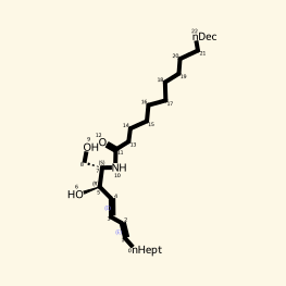 CCCCCCC/C=C/C=C/[C@@H](O)[C@H](CO)NC(=O)CCCCCCCCCCCCCCCCCCC